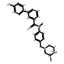 C[C@H]1CN(Cc2ccc(N(C)C(=O)c3cccc(-c4ccc(F)cc4)c3)cc2)CCN1